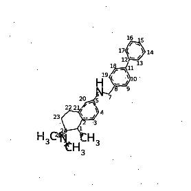 CC1c2ccc(NCc3ccc(-c4ccccc4)cc3)cc2CCC1N(C)C